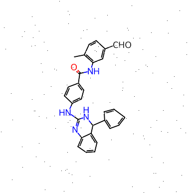 Cc1ccc(C=O)cc1NC(=O)c1ccc(NC2=Nc3ccccc3C(c3ccccc3)N2)cc1